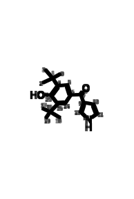 CC(C)(C)c1cc(C(=O)c2cc[nH]c2)cc(C(C)(C)C)c1O